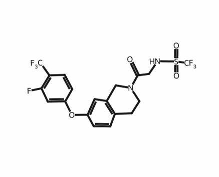 O=C(CNS(=O)(=O)C(F)(F)F)N1CCc2ccc(Oc3ccc(C(F)(F)F)c(F)c3)cc2C1